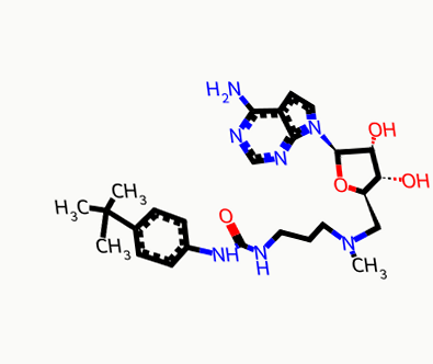 CN(CCCNC(=O)Nc1ccc(C(C)(C)C)cc1)C[C@H]1O[C@@H](n2ccc3c(N)ncnc32)[C@H](O)[C@@H]1O